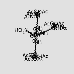 CC(=O)N[C@H]1[C@H](OCCCCCCCCCNC(=O)CCOC2[C@H](OCCC(=O)NCCCCCCCCCO[C@@H]3O[C@H](COC(C)=O)[C@H](OC(C)=O)[C@H](OC(C)=O)[C@H]3NC(C)=O)CC(C(=O)NCCCCCC(=O)O)C[C@H]2OCCC(=O)NCCCCCCCCCO[C@@H]2O[C@H](COC(C)=O)[C@H](OC(C)=O)[C@H](OC(C)=O)[C@H]2NC(C)=O)O[C@H](COC(C)=O)[C@H](OC(C)=O)[C@@H]1OC(C)=O